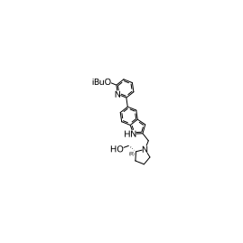 CC(C)COc1cccc(-c2ccc3[nH]c(CN4CCC[C@@H]4CO)cc3c2)n1